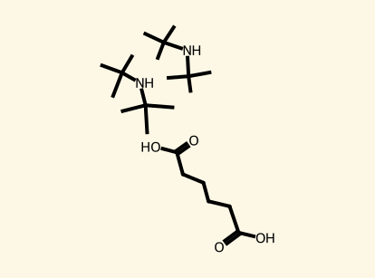 CC(C)(C)NC(C)(C)C.CC(C)(C)NC(C)(C)C.O=C(O)CCCCC(=O)O